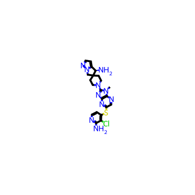 Cn1c(N2CCC3(CC2)Cn2nccc2[C@H]3N)nc2nc(Sc3ccnc(N)c3Cl)cnc21